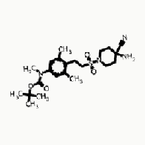 Cc1cc(N(C)C(=O)OC(C)(C)C)cc(C)c1CCS(=O)(=O)N1CCC(N)(C#N)CC1